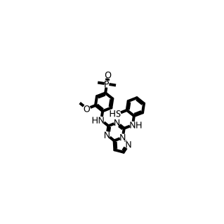 COc1cc(P(C)(C)=O)ccc1Nc1nc(Nc2ccccc2S)n2nccc2n1